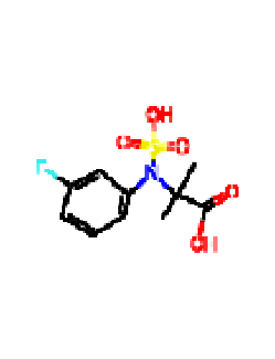 CC(C)(C(=O)O)N(c1cccc(F)c1)S(=O)(=O)O